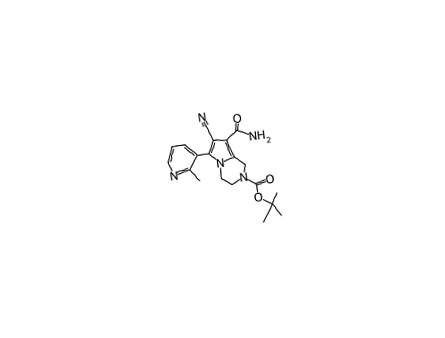 Cc1ncccc1-c1c(C#N)c(C(N)=O)c2n1CCN(C(=O)OC(C)(C)C)C2